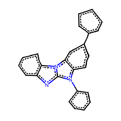 c1ccc(-c2ccc3c(c2)n2c4ccccc4nc2n3-c2ccccc2)cc1